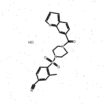 Cc1cc(C#N)ccc1S(=O)(=O)N1CCN(C(=O)c2ccc3cccnc3c2)CC1.Cl